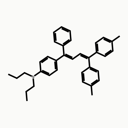 CCCN(CCC)c1ccc(C(=CC=C(c2ccc(C)cc2)c2ccc(C)cc2)c2ccccc2)cc1